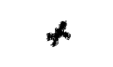 Cc1c(N2CCS(=O)(=O)CC2)nc2c(-c3cnc4ccccc4c3)cnn2c1N(COCC[Si](C)(C)C)COCC[Si](C)(C)C